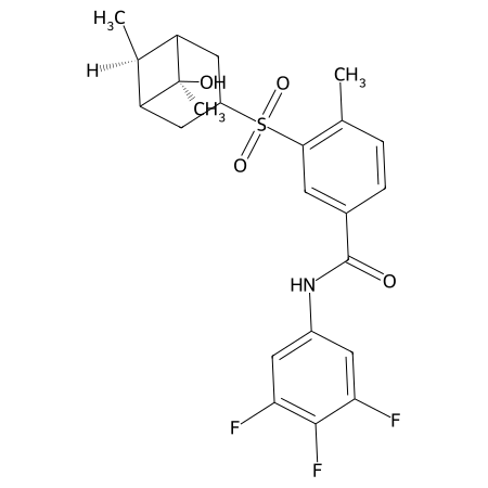 Cc1ccc(C(=O)Nc2cc(F)c(F)c(F)c2)cc1S(=O)(=O)C1CC2[C@H](C)C(C1)[C@]2(C)O